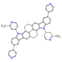 CC1=NC=CC(n2c3ccc(-c4ccncc4)cc3c3cc4c5c(c32)CCc2cc3c6cc(-c7ccncc7)ccc6n(-c6ccnc(C)c6)c3c(c2-5)CC4)C1